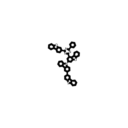 c1ccc(-c2nc(-c3ccc4c(c3)oc3ccccc34)nc(-c3cc(-n4c5ccccc5c5cc(-c6ccc7sc8ccccc8c7c6)ccc54)cc4oc5ccccc5c34)n2)cc1